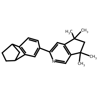 CC1(C)CC(C)(C)c2cc(-c3ccc4c(c3)C3CCC4C3)ncc21